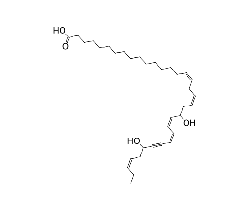 CC/C=C\CC(O)C#C/C=C\C=C/C(O)C/C=C\C/C=C\CCCCCCCCCCCCCCC(=O)O